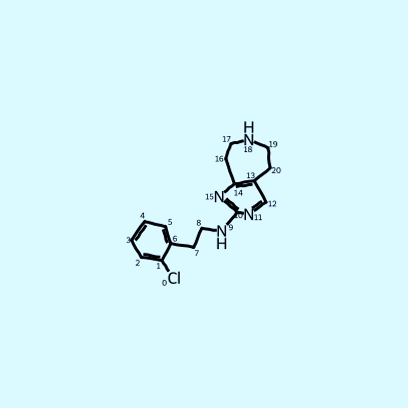 Clc1ccccc1CCNc1ncc2c(n1)CCNCC2